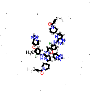 CC#CC(=O)N1CCC[C@@H](c2ccc3nc(Cc4c(Oc5ccn6ncnc6c5)ccc(Nc5ncnc6ccc([C@@H]7CCCN(C(=O)C#CC)CC7)nc56)c4F)nc(Nc4ccc(Oc5ccn6ncnc6c5)c(C)c4F)c3n2)CC1